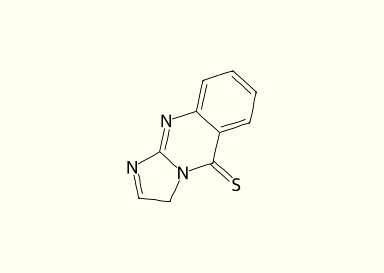 S=c1c2ccccc2nc2n1CC=N2